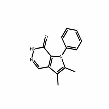 Cc1c(C)n(-c2ccccc2)c2c(=O)[nH]ncc12